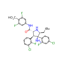 CC(C)(C)C[C@@H]1N[C@@H](C(=O)Nc2cc(F)c(C(=O)O)c(F)c2)[C@H](c2cccc(Cl)c2F)[C@@]1(N)c1ccc(Cl)cc1F